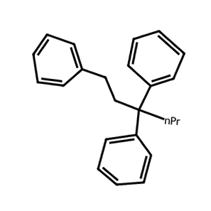 CCCC(CCc1ccccc1)(c1ccccc1)c1ccccc1